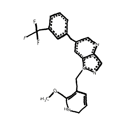 COC1=C(Cn2ncc3ncc(-c4cccc(C(F)(F)F)c4)cc32)C=CCN1